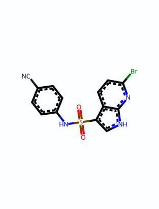 N#Cc1ccc(NS(=O)(=O)c2c[nH]c3nc(Br)ccc23)cc1